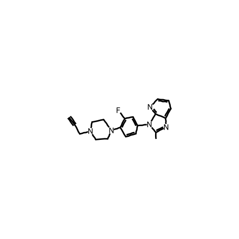 C#CCN1CCN(c2ccc(-n3c(C)nc4cccnc43)cc2F)CC1